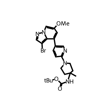 COc1cc(-c2ccc(N3CCC(C)(NC(=O)OC(C)(C)C)CC3)nc2)c2c(Br)cnn2c1